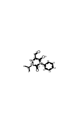 CC(C)n1nc(C=O)c(=O)n(-c2ccccc2)c1=O